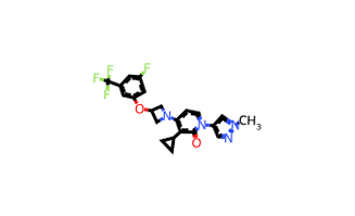 Cn1cc(-n2ccc(N3CC(Oc4cc(F)cc(C(F)(F)F)c4)C3)c(C3CC3)c2=O)cn1